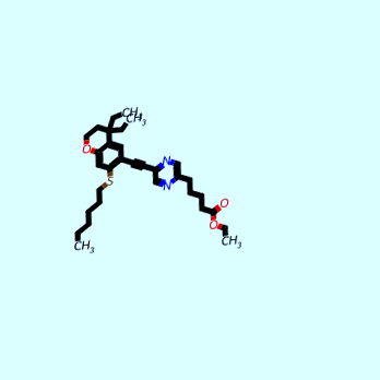 CCCCCCSc1cc2c(cc1C#Cc1cnc(CCCCC(=O)OCC)cn1)C(CC)(CC)CCO2